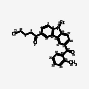 CCn1c2ccc(C(=O)CCCCl)cc2c2cc(C(=O)c3ccccc3C)ccc21